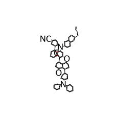 C=C/C=C\c1ccc2cc(N(c3ccc4c(c3)Oc3ccc5c6c(ccc-4c36)Oc3cc(N(c4ccccc4)c4ccccc4)ccc3-5)c3ccc(C#N)cc3-c3ccccc3)ccc2c1